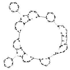 CC1(C)c2cc3ccc2-c2ccc(cc21)-c1cccc(c1)-c1ccc2c(c1)c1cc(ccc1n2-c1ccccc1)-c1ccc2c(c1)c1cc(ccc1n2-c1ccccc1)-c1cccc-3c1